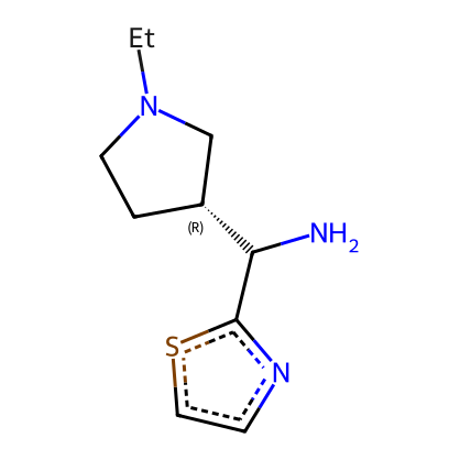 CCN1CC[C@@H](C(N)c2nccs2)C1